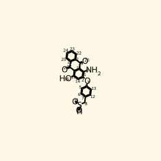 Nc1c(Oc2ccc(C[SH](=O)=O)cc2)cc(O)c2c1C(=O)c1ccccc1C2=O